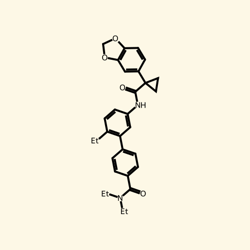 CCc1ccc(NC(=O)C2(c3ccc4c(c3)OCO4)CC2)cc1-c1ccc(C(=O)N(CC)CC)cc1